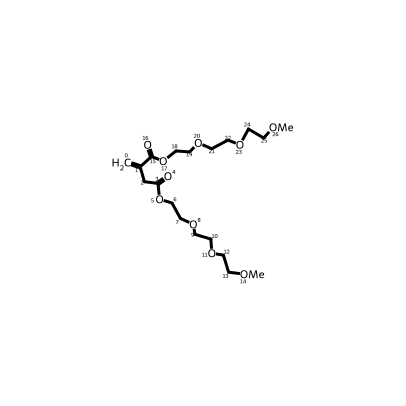 C=C(CC(=O)OCCOCCOCCOC)C(=O)OCCOCCOCCOC